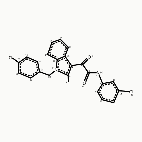 Cc1c(C(=O)C(=O)Nc2cccc(Cl)c2)c2ccccc2n1Cc1ccc(Cl)cc1